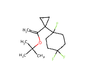 C=C(OC(C)(C)C)C1(C2(F)CCC(F)(F)CC2)CC1